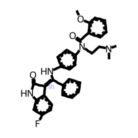 COc1ccccc1C(=O)N(CCN(C)C)c1ccc(N/C(=C2\C(=O)Nc3cc(F)ccc32)c2ccccc2)cc1